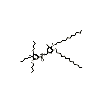 CCCCCCCCCCCCOc1cc(CNC(=O)c2cc(OCCCC)c(OCCCC)c(OCCCC)c2)cc(C)c1OCCCCCCCCCCCC